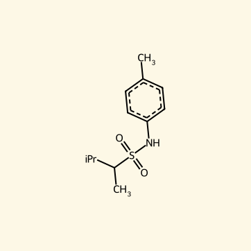 Cc1ccc(NS(=O)(=O)C(C)C(C)C)cc1